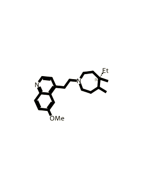 CC[C@@]1(C)CCN(CCc2ccnc3ccc(OC)cc23)CCC1C